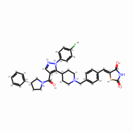 O=C1NC(=O)C(=Cc2ccc(CN3CCC(c4c(C(=O)N5CC[C@H](c6ccccc6)C5)cnn4-c4ccc(F)cc4)CC3)cc2)S1